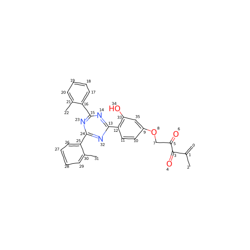 C=C(C)C(=O)C(=O)COc1ccc(-c2nc(-c3ccccc3C)nc(-c3ccccc3C)n2)c(O)c1